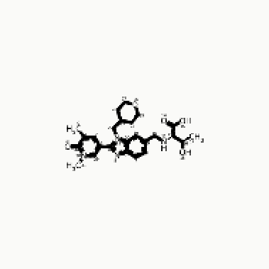 Cc1cc(-c2nc3ccc(CN[C@H](C(=O)O)[C@@H](C)O)cc3n2CC2CCOCC2)cn(C)c1=O